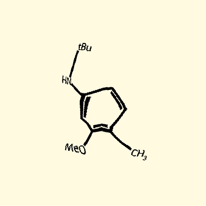 COc1cc(NC(C)(C)C)ccc1C